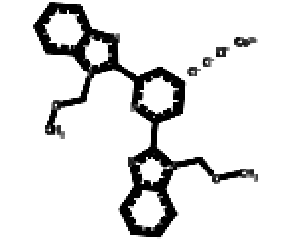 COCn1c(-c2cccc(-c3nc4ccccc4n3COC)n2)nc2ccccc21.[Cl-].[Cl-].[Cl-].[Co+3]